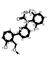 COCc1c(Cl)cccc1-c1cccc(N(C(N)=O)c2c(F)cccc2F)n1